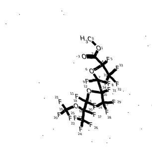 COC(=O)C(F)(OC(F)(F)C(F)(OC(F)(F)C(F)(OC(F)(F)F)C(F)(F)F)C(F)(F)F)C(F)(F)F